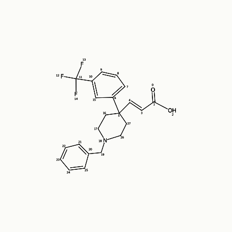 O=C(O)C=CC1(c2cccc(C(F)(F)F)c2)CCN(Cc2ccccc2)CC1